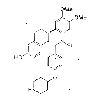 CCN(Cc1ccc(OC2CCNCC2)cc1)c1cc(OC)c(OC)cc1[C@@H]1CCc2cc(O)ccc2C1